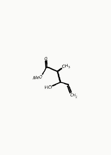 C=CC(O)C(C)C(=O)OC